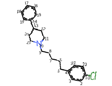 Clc1ccc(CCCCCN2CCC(c3ccccc3)CC2)cc1